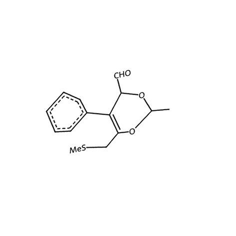 CSCC1=C(c2ccccc2)C(C=O)OC(C)O1